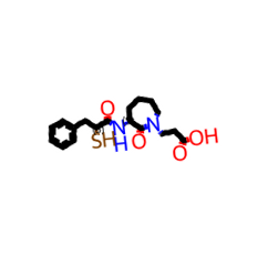 O=C(O)CCN1CCCC[C@H](NC(=O)[C@@H](S)Cc2ccccc2)C1=O